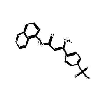 C/C(=C\C(=O)Nc1cccc2cnccc12)c1ccc(C(F)(F)F)cc1